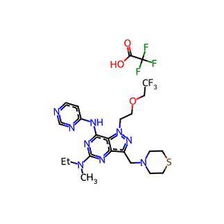 CCN(C)c1nc(Nc2ccncn2)c2c(n1)c(CN1CCSCC1)nn2CCOCC(F)(F)F.O=C(O)C(F)(F)F